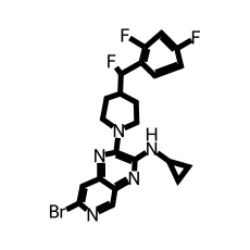 Fc1ccc(C(F)C2CCN(c3nc4cc(Br)ncc4nc3NC3CC3)CC2)c(F)c1